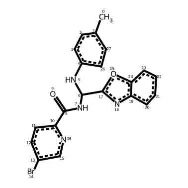 Cc1ccc(NC(NC(=O)c2ccc(Br)cn2)c2nc3ccccc3o2)cc1